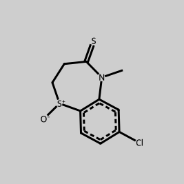 CN1C(=S)CC[S+]([O-])c2ccc(Cl)cc21